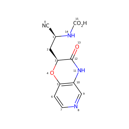 N#C[C@H](C[C@@H]1Oc2ccncc2NC1=O)NC(=O)O